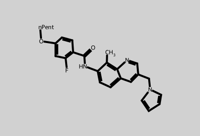 CCCCCOc1ccc(C(=O)Nc2ccc3cc(Cn4cccc4)cnc3c2C)c(F)c1